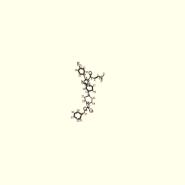 CN(C)C=CC(=O)c1c(-c2ccc(F)cc2)nc2cc(C3CCN(C(=O)OCc4ccccc4)CC3)ccn12